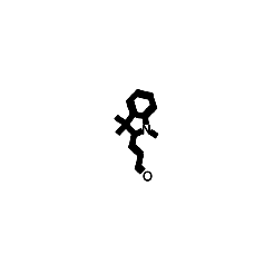 CN1c2ccccc2C(C)(C)C1/C=C/C=O